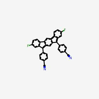 N#Cc1ccc(C2=c3cc4c(cc3-c3ccc(F)cc32)=c2ccc(F)cc2=C4c2ccc(C#N)cc2)cc1